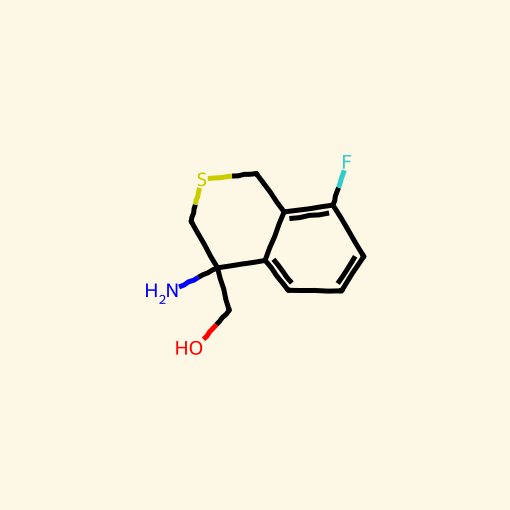 NC1(CO)CSCc2c(F)cccc21